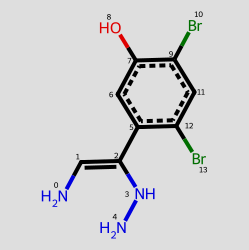 N/C=C(\NN)c1cc(O)c(Br)cc1Br